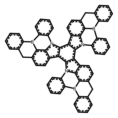 c1ccc2c(c1)Cc1ccc3c4c(c5c6ccc7c8c6n(c5c5c6ccc9c%10c6n(c45)-c4ccccc4B%10c4ccccc4C9)-c4ccccc4B8c4ccccc4C7)n4c3c1B2c1ccccc1-4